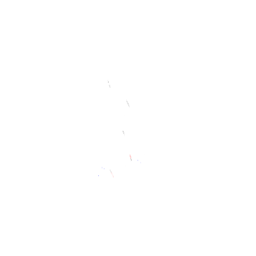 CC(C)=CCCC(C)=CCCC(C)=CCSCC(NC(=O)CCC(=O)NN)C(=O)O